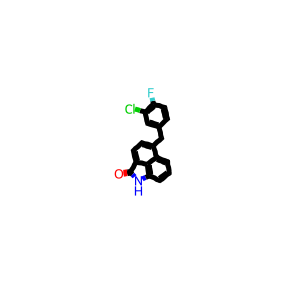 O=C1Nc2cccc3c(Cc4ccc(F)c(Cl)c4)ccc1c23